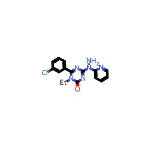 CCn1c(-c2cccc(Cl)c2)nc(N(N)c2ccccn2)nc1=O